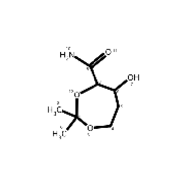 CC1(C)OC[CH]C(O)C(C(N)=O)O1